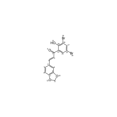 O=C(C=Cc1ccc2c(c1)OCO2)c1cc(Br)cc(Br)c1O